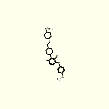 CCCCC[C@H]1CC[C@H](CCC2CCC(c3c(F)c[c]c(Oc4ccc(OC(F)(F)F)cc4)c3F)CC2)CC1